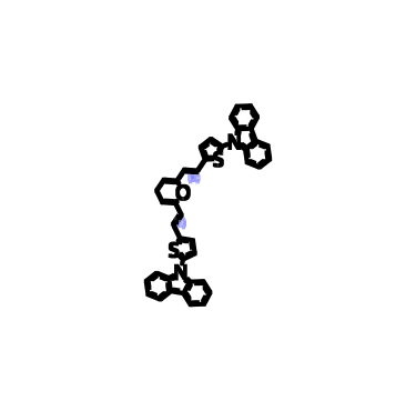 C1=C(/C=C/c2ccc(-n3c4ccccc4c4ccccc43)s2)OC(/C=C/c2ccc(-n3c4ccccc4c4ccccc43)s2)=CC1